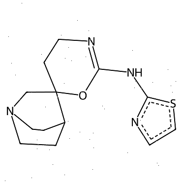 c1csc(NC2=NCCC3(CN4CCC3CC4)O2)n1